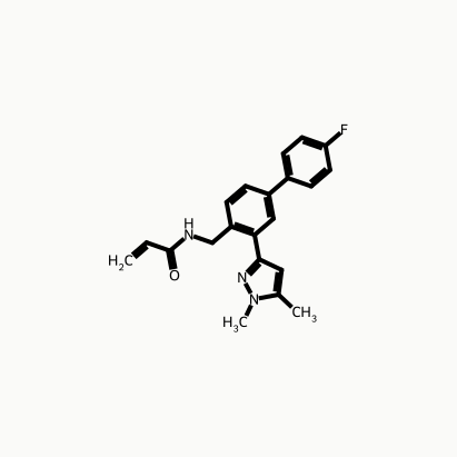 C=CC(=O)NCc1ccc(-c2ccc(F)cc2)cc1-c1cc(C)n(C)n1